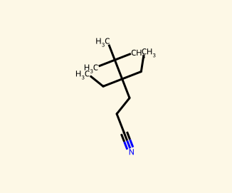 CCC(CC)(CCC#N)C(C)(C)C